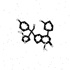 Cn1cncc1C(CBr)(c1ccc(Cl)cc1)c1ccc2c(c1)c(-c1cccc(Cl)c1)cc(=O)n2C